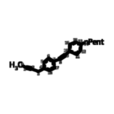 CC#CCc1ccc(C#Cc2ccc(CCCCC)cc2)cc1